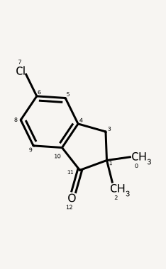 CC1(C)Cc2cc(Cl)ccc2C1=O